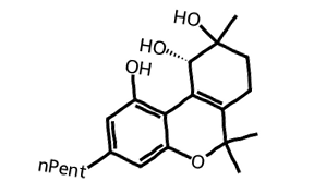 CCCCCc1cc(O)c2c(c1)OC(C)(C)C1=C2[C@H](O)C(C)(O)CC1